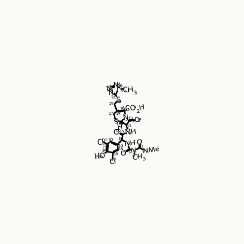 CNC(=O)N(C)C(=O)NC(C(=O)NC1C(=O)N2C(C(=O)O)=C(CSc3nnnn3C)CS[C@@H]12)c1cc(Cl)c(O)c(Cl)c1